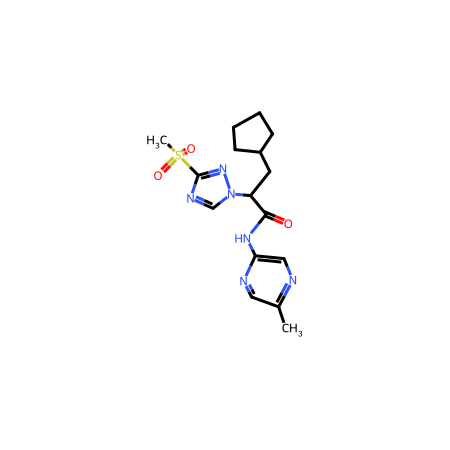 Cc1cnc(NC(=O)C(CC2CCCC2)n2cnc(S(C)(=O)=O)n2)cn1